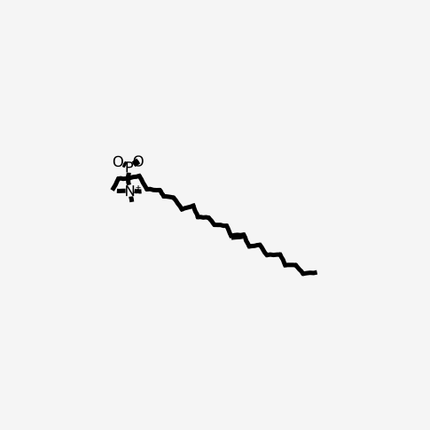 CCCCCCCCC=CCCCCCCCCCCCC(CC)(P(=O)=O)[N+](C)(C)C